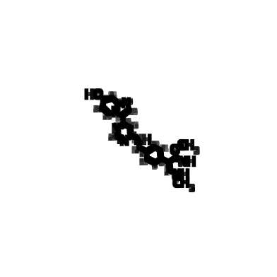 CN/C=C(\C(=N)OC)c1ccc(CNc2cc(-c3cnc4cc(O)ccn34)ncn2)cc1